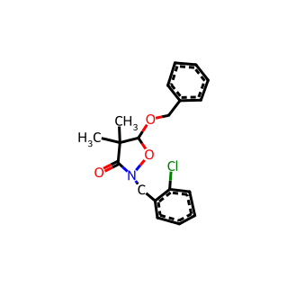 CC1(C)C(=O)N(Cc2ccccc2Cl)OC1OCc1ccccc1